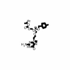 Cc1ccc(COP(=O)(COCCn2cnc3c(=O)[nH]c(N)nc32)OCOC(=O)OC(C)C(C)C)cc1